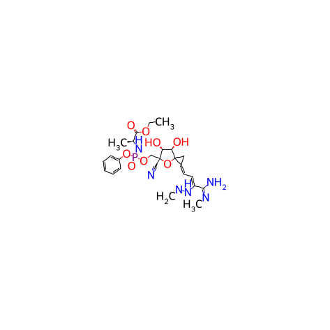 C=NNC(=C\C=C1/CC12O[C@](C#N)(COP(=O)(N[C@@H](C)C(=O)OCC)Oc1ccccc1)[C@@H](O)[C@H]2O)/C(N)=N\C